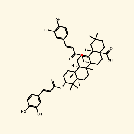 CC1(C)CC[C@]2(C(=O)O)CC[C@]3(COC(=O)/C=C/c4ccc(O)c(O)c4)C(=CC[C@@H]4[C@@]5(C)CC[C@H](OC(=O)/C=C/c6ccc(O)c(O)c6)C(C)(C)[C@@H]5CC[C@]43C)[C@@H]2C1